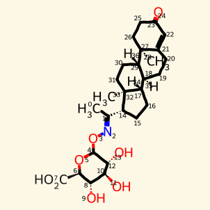 C/C(=N\OC1O[C@H](C(=O)O)[C@@H](O)[C@H](O)[C@H]1O)[C@H]1CC[C@H]2[C@@H]3CCC4=CC(=O)CC[C@]4(C)[C@H]3CC[C@]12C